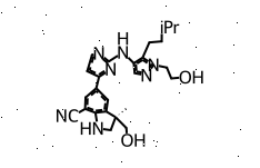 CC(C)CCc1c(Nc2nccc(-c3cc(C#N)c4c(c3)[C@@](C)(CO)CN4)n2)cnn1CCO